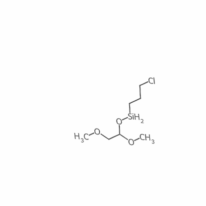 COCC(OC)O[SiH2]CCCCl